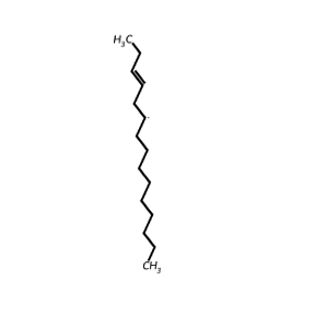 CCC=CC[CH]CCCCCCCCC